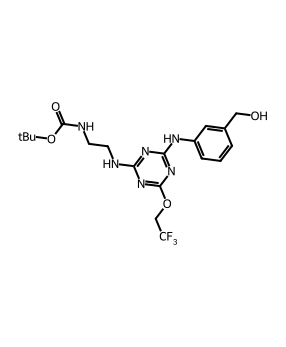 CC(C)(C)OC(=O)NCCNc1nc(Nc2cccc(CO)c2)nc(OCC(F)(F)F)n1